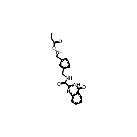 CCC(=O)ONCc1cccc(CNC(=O)c2nc3ccccc3c(=O)[nH]2)c1